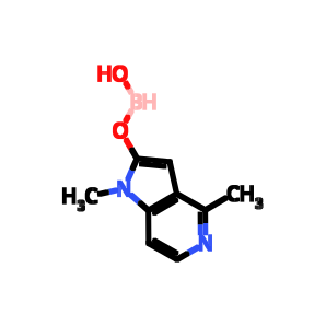 Cc1nccc2c1cc(OBO)n2C